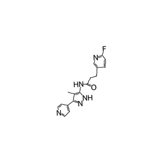 Cc1c(-c2ccncc2)n[nH]c1NC(=O)CCc1ccc(F)nc1